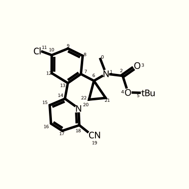 CN(C(=O)OC(C)(C)C)C1(c2ccc(Cl)cc2-c2cccc(C#N)n2)CC1